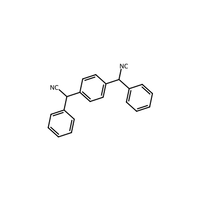 [C-]#[N+]C(c1ccccc1)c1ccc(C(C#N)c2ccccc2)cc1